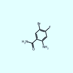 NC(=O)c1cc(Br)c(F)cc1N